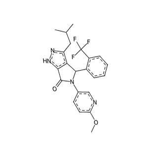 COc1ccc(N2C(=O)c3[nH]nc(CC(C)C)c3C2c2ccccc2C(F)(F)F)cn1